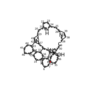 Oc1c(-c2ccccc2)c2c(-c3ccccc3)c3nc(cc4ccc(cc5nc(cc1n2-c1ccccc1)C=C5)[nH]4)C=C3c1ccccc1